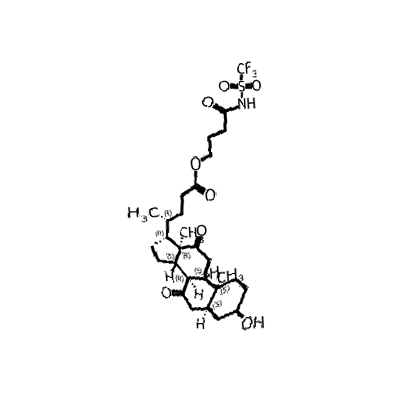 C[C@H](CCC(=O)OCCCC(=O)NS(=O)(=O)C(F)(F)F)[C@H]1CC[C@H]2[C@@H]3C(=O)C[C@@H]4CC(O)CC[C@]4(C)[C@H]3CC(=O)[C@]12C